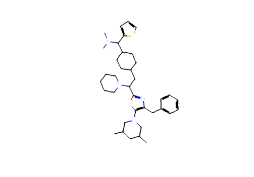 CC1CC(C)CN(c2oc(C(CC3CCC(C(c4cccs4)N(C)C)CC3)N3CCCCC3)nc2Cc2ccccc2)C1